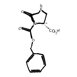 O=C(O)[C@H]1CNC(=O)N1C(=O)OCc1ccccc1